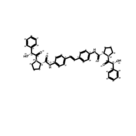 O=C(Nc1ccc(/C=C/c2ccc(NC(=O)[C@@H]3CCCN3C(=O)[C@H](O)c3ccccc3)cc2)cc1)[C@@H]1CCCN1C(=O)[C@H](O)c1ccccc1